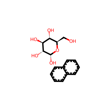 OC[C@H]1O[C@H](O)[C@H](O)[C@@H](O)[C@@H]1O.c1ccc2ccccc2c1